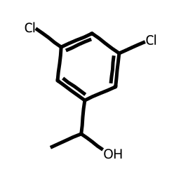 CC(O)c1cc(Cl)cc(Cl)c1